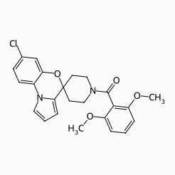 COc1cccc(OC)c1C(=O)N1CCC2(CC1)Oc1cc(Cl)ccc1-n1cccc12